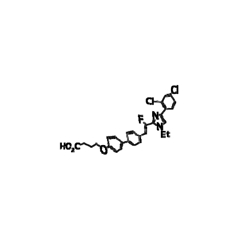 CCn1cc(-c2ccc(Cl)cc2Cl)nc1/C(F)=C/c1ccc(-c2ccc(OCCCC(=O)O)cc2)cc1